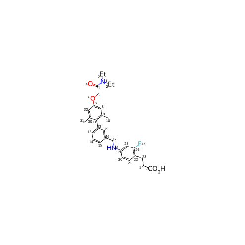 CCN(CC)C(=O)COc1cc(C)c(-c2cccc(CNc3ccc(CCC(=O)O)c(F)c3)c2)c(C)c1